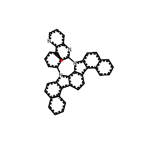 c1ccc(-n2c3ccc4ccccc4c3c3ccc4c5c6ccccc6ccc5n(-c5ccc6ncccc6n5)c4c32)cc1